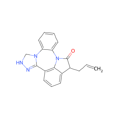 C=CCC1C(=O)N2c3ccccc3N3CNN=C3c3cccc1c32